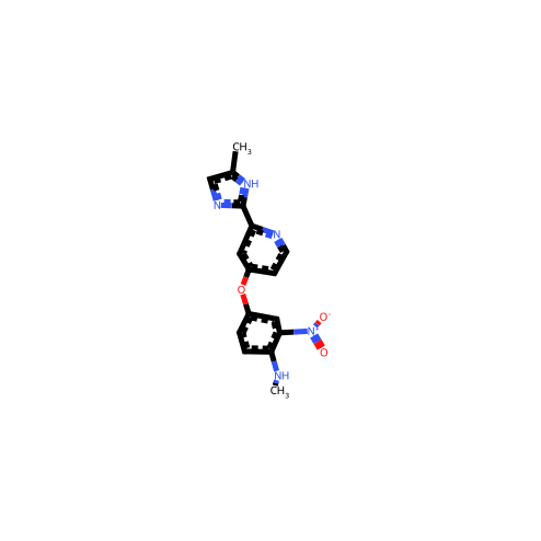 CNc1ccc(Oc2ccnc(-c3ncc(C)[nH]3)c2)cc1[N+](=O)[O-]